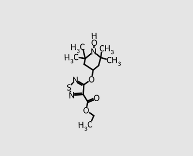 CCOC(=O)c1nsnc1OC1CC(C)(C)N(O)C(C)(C)C1